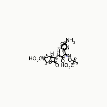 CC(C)(O/N=C(\C(=O)N[C@@H]1C(=O)N2C[C@H](C(=O)O)S[C@H]12)c1csc(N)n1)C(=O)O